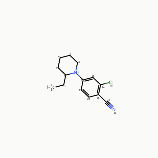 CCC1CCCCN1c1ccc(C#N)c(Cl)c1